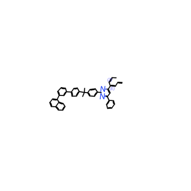 C=C/C=C(\C=C/C)c1cc(-c2ccccc2)nc(-c2ccc(C(C)(C)c3ccc(-c4cccc(-c5cccc6ccccc56)c4)cc3)cc2)n1